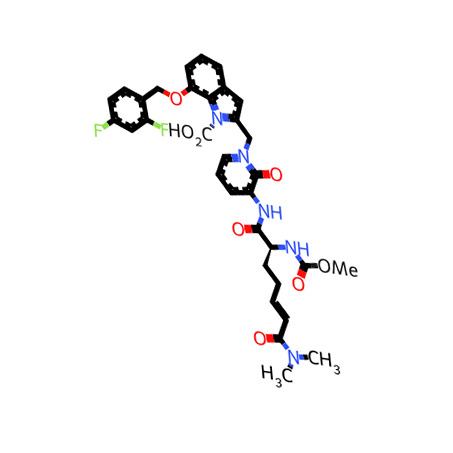 COC(=O)N[C@@H](CC/C=C/C(=O)N(C)C)C(=O)Nc1cccn(Cc2cc3cccc(OCc4ccc(F)cc4F)c3n2C(=O)O)c1=O